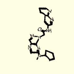 CN(c1cnc2cnn(CC(=O)Nc3cnc4ncccc4c3)c2n1)C1CCCC1